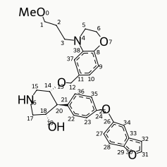 COCCCN1CCOc2ccc(CO[C@H]3CNC[C@@H](O)[C@@H]3c3ccc(Oc4ccc5occc5c4)cc3)cc21